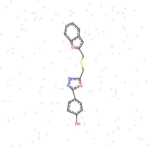 Oc1ccc(-c2nnc(CSCc3cc4ccccc4o3)o2)cc1